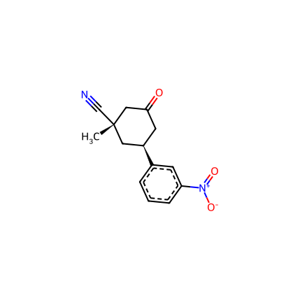 C[C@@]1(C#N)CC(=O)C[C@@H](c2cccc([N+](=O)[O-])c2)C1